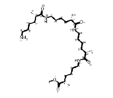 COC(=O)[C@@H](C)CCCCNC(=O)[C@@H](C)CCCCNC(=O)[C@@H](C)CCCCNC(=O)[C@@H](C)CCCCN